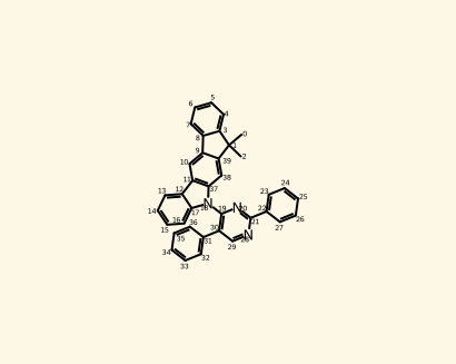 CC1(C)c2ccccc2-c2cc3c4ccccc4n(-c4nc(-c5ccccc5)ncc4-c4ccccc4)c3cc21